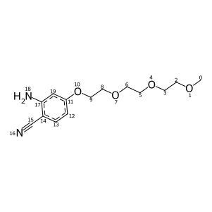 COCCOCCOCCOc1ccc(C#N)c(N)c1